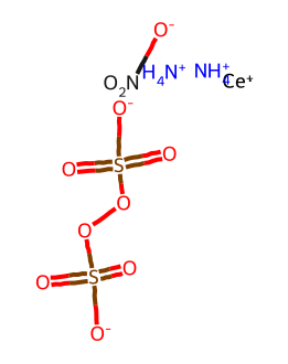 O=S(=O)([O-])OOS(=O)(=O)[O-].O=[N+]([O-])[O-].[Ce+].[NH4+].[NH4+]